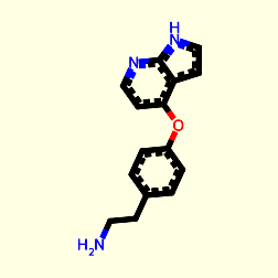 NCCc1ccc(Oc2ccnc3[nH]ccc23)cc1